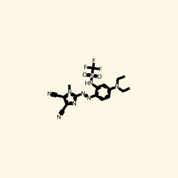 CCN(CC)c1ccc(N=Nc2nc(C#N)c(C#N)n2C)c(NS(=O)(=O)C(F)(F)F)c1